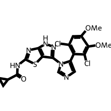 COc1cc(Cl)c(-c2cncn2-c2n[nH]c3nc(NC(=O)C4CC4)sc23)c(Cl)c1OC